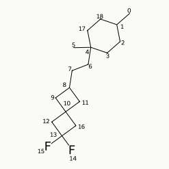 CC1CCC(C)(CCC2CC3(C2)CC(F)(F)C3)CC1